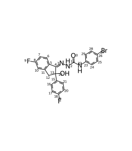 O=C(NN=C1c2ccc(F)cc2CC1(O)c1ccc(F)cc1)Nc1ccc(Br)cc1